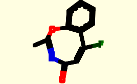 CC1=NC(=O)C=C(F)c2ccccc2O1